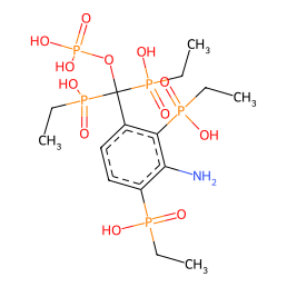 CCP(=O)(O)c1ccc(C(OP(=O)(O)O)(P(=O)(O)CC)P(=O)(O)CC)c(P(=O)(O)CC)c1N